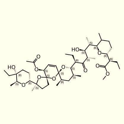 CC[C@@H](C(=O)[C@@H](C)[C@@H](O)[C@H](C)[C@@H]1O[C@@H]([C@@H](CC)C(=O)OC)CCC1C)[C@H]1O[C@@]2(C=C[C@H](OC(C)=O)[C@]3(CC[C@@](C)([C@H]4CC[C@](O)(CC)[C@H](C)O4)O3)O2)[C@H](C)C[C@@H]1C